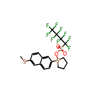 CSc1ccc2cc(S3(OS(=O)(=O)C(F)(F)C(F)(F)C(F)(F)C(F)(F)F)CCCC3)ccc2c1